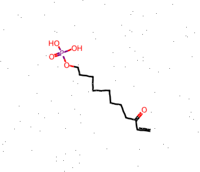 C=CC(=O)CCCCCCCCOP(=O)(O)O